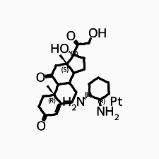 C[C@]12CCC(=O)C=C1CCC1C2C(=O)C[C@@]2(C)C1CC[C@]2(O)C(=O)CO.N[C@@H]1CCCC[C@H]1N.[Pt]